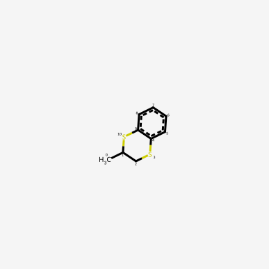 CC1CSc2ccccc2S1